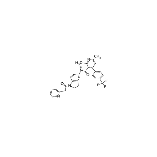 Cc1cc(-c2ccc(C(F)(F)F)cc2)c(C(=O)Nc2ccc3c(c2)CCN3C(=O)Cc2ccccn2)c(C)n1